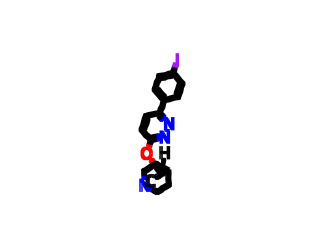 Ic1ccc(-c2ccc(O[C@H]3CN4CCC3CC4)nn2)cc1